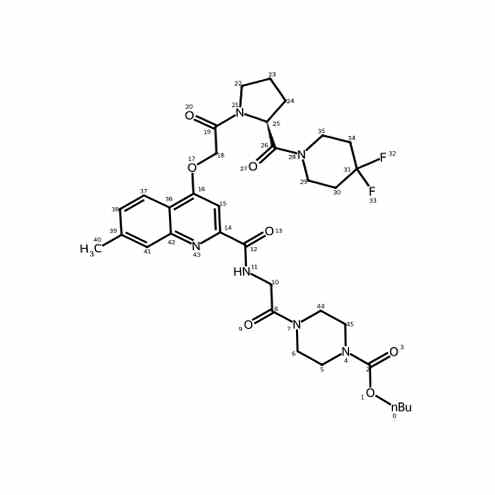 CCCCOC(=O)N1CCN(C(=O)CNC(=O)c2cc(OCC(=O)N3CCC[C@H]3C(=O)N3CCC(F)(F)CC3)c3ccc(C)cc3n2)CC1